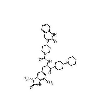 Cc1cc(CC(NC(=O)N2CCC(N3Cc4ccccc4NC3=O)CC2)C(=O)N2CCC(N3CCCCC3)CC2)cc2c1[nH]c(=O)n2C